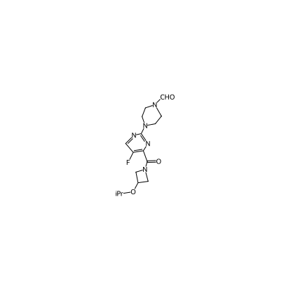 CC(C)OC1CN(C(=O)c2nc(N3CCN(C=O)CC3)ncc2F)C1